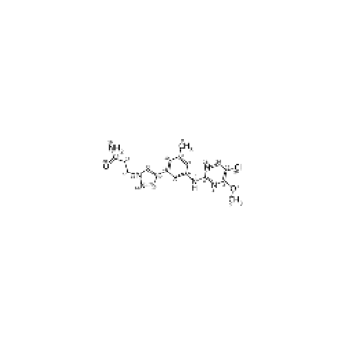 COc1nc(Nc2cc(C)cc(-c3cnn(CCC(N)=O)c3)c2)ncc1Cl